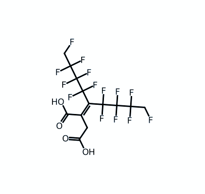 O=C(O)CC(C(=O)O)=C(C(F)(F)C(F)(F)C(F)(F)CF)C(F)(F)C(F)(F)C(F)(F)CF